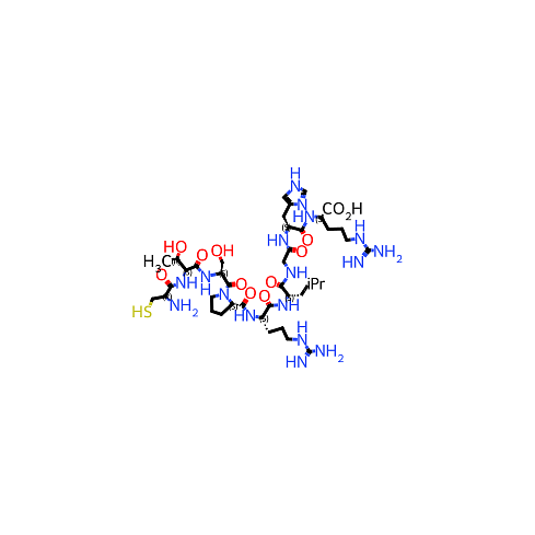 CC(C)C[C@H](NC(=O)[C@H](CCCNC(=N)N)NC(=O)[C@@H]1CCCN1C(=O)[C@H](CO)NC(=O)[C@@H](NC(=O)[C@@H](N)CS)[C@@H](C)O)C(=O)NCC(=O)N[C@@H](Cc1c[nH]cn1)C(=O)N[C@@H](CCCNC(=N)N)C(=O)O